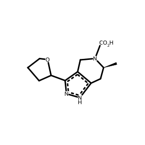 C[C@H]1Cc2[nH]nc(C3CCCO3)c2CN1C(=O)O